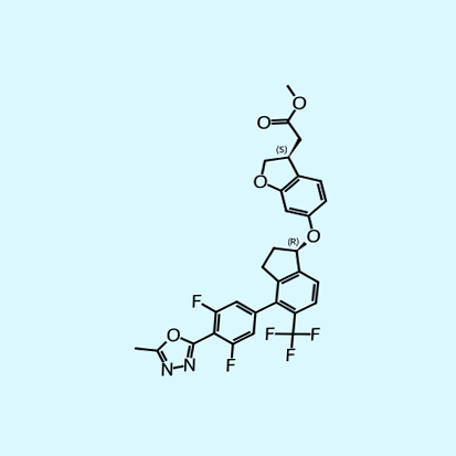 COC(=O)C[C@@H]1COc2cc(O[C@@H]3CCc4c3ccc(C(F)(F)F)c4-c3cc(F)c(-c4nnc(C)o4)c(F)c3)ccc21